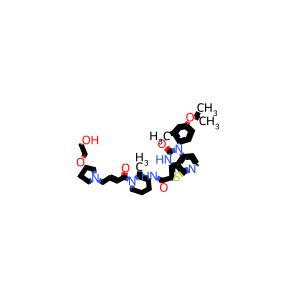 CC1=C(NC(=O)c2sc3nccc4c3c2NC(=O)N4c2ccc(OC(C)C)cc2C)CCCN1C(=O)/C=C/CN1CC[C@@H](OCCO)C1